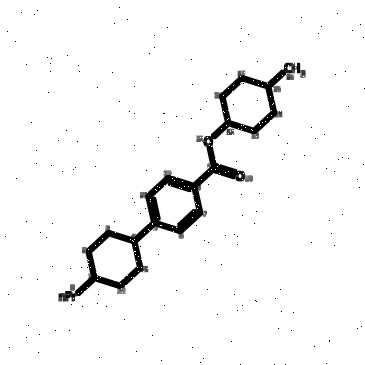 CCCC1CCC(c2ccc(C(=O)OC3CCC(C)CC3)cc2)CC1